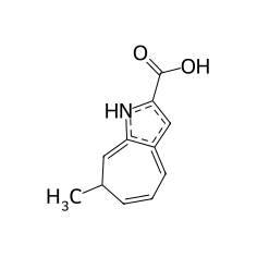 CC1C=CC=c2cc(C(=O)O)[nH]c2=C1